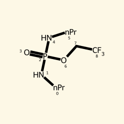 CCCNP(=O)(NCCC)OCC(F)(F)F